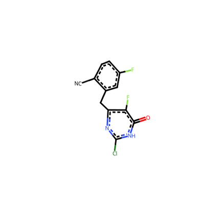 N#Cc1ccc(F)cc1Cc1nc(Cl)[nH]c(=O)c1F